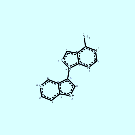 Nc1ncnc2c1cnn2-c1c[nH]c2ccncc12